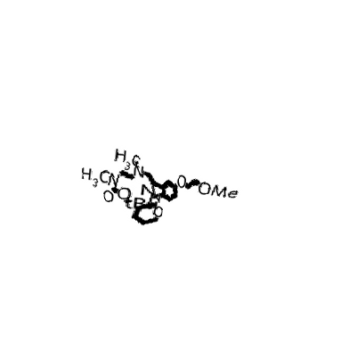 COCCOc1ccc2c(c1)c(CN(C)CCN(C)C(=O)OC(C)(C)C)nn2C1CCCCO1